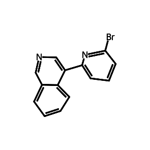 Brc1cccc(-c2cncc3ccccc23)n1